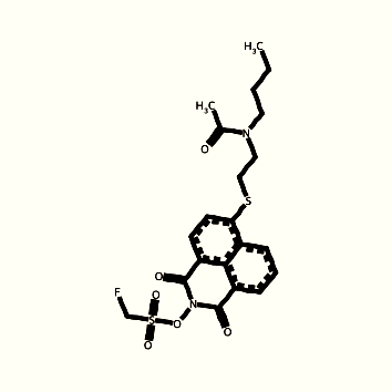 CCCCN(CCSc1ccc2c3c(cccc13)C(=O)N(OS(=O)(=O)CF)C2=O)C(C)=O